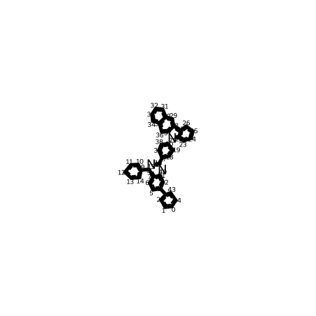 c1ccc(-c2ccc3c(-c4ccccc4)nc(-c4ccc(-n5c6ccccc6c6cc7ccccc7cc65)cc4)nc3c2)cc1